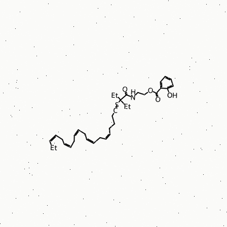 CC/C=C\C/C=C\C/C=C\C/C=C\C/C=C\CCCCSC(CC)(CC)C(=O)NCCOC(=O)c1ccccc1O